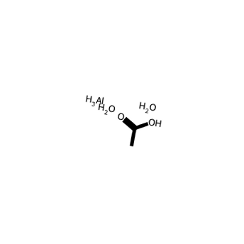 CC(=O)O.O.O.[AlH3]